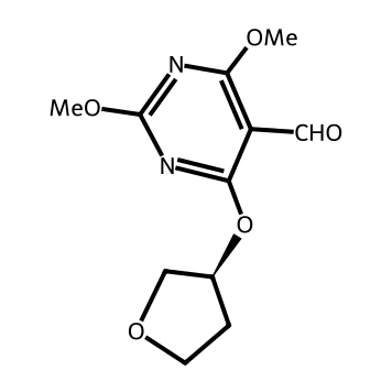 COc1nc(OC)c(C=O)c(O[C@H]2CCOC2)n1